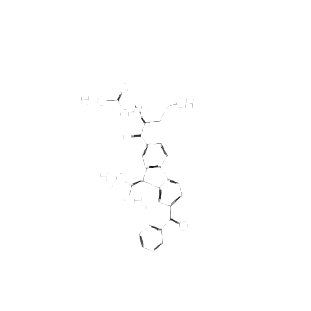 CCC/C(=N/OC(C)=O)C(=O)c1ccc2c(c1)C(=C(C)C)c1cc(C(=O)c3ccccc3)ccc1-2